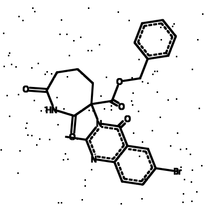 Cc1nc2ccc(Br)cc2c(=O)n1C1(C(=O)OCc2ccccc2)CCCC(=O)NC1=O